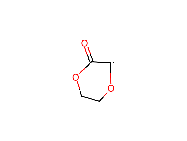 O=C1[CH]OCCO1